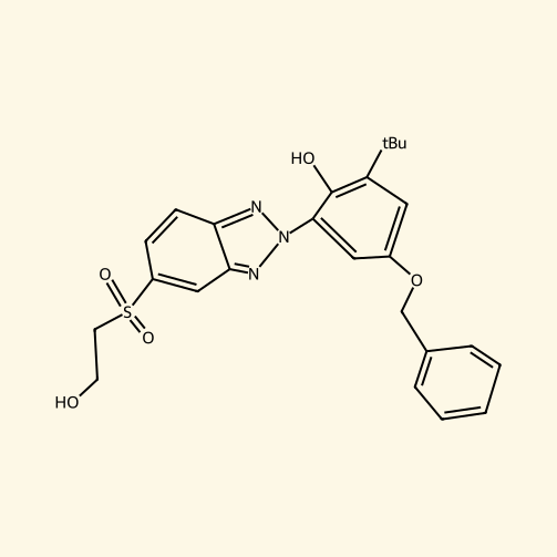 CC(C)(C)c1cc(OCc2ccccc2)cc(-n2nc3ccc(S(=O)(=O)CCO)cc3n2)c1O